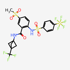 CS(=O)(=O)c1ccc(NS(=O)(=O)c2ccc(S(F)(F)(F)(F)F)cc2)c(C(=O)NC23CC(C(F)(F)F)(C2)C3)c1